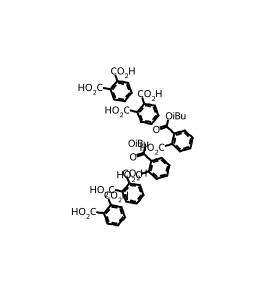 CC(C)COC(=O)c1ccccc1C(=O)O.CC(C)COC(=O)c1ccccc1C(=O)O.O=C(O)c1ccccc1C(=O)O.O=C(O)c1ccccc1C(=O)O.O=C(O)c1ccccc1C(=O)O.O=C(O)c1ccccc1C(=O)O